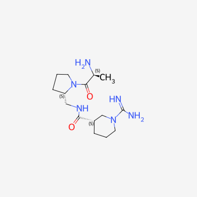 C[C@H](N)C(=O)N1CCC[C@H]1CNC(=O)[C@H]1CCCN(C(=N)N)C1